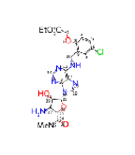 CCOC(=O)COc1ccc(Cl)cc1CNc1ncnc2c1ncn2[C@@H]1O[C@H](C(=O)NC)[C@@H](N)[C@H]1O